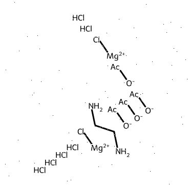 CC(=O)[O-].CC(=O)[O-].CC(=O)[O-].CC(=O)[O-].Cl.Cl.Cl.Cl.Cl.Cl.NCCN.[Mg+2][Cl].[Mg+2][Cl]